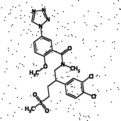 COc1ccc(-n2cnnn2)cc1C(=O)N(C)CC(CCS(C)(=O)=O)c1ccc(Cl)c(Cl)c1